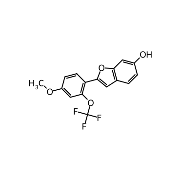 COc1ccc(-c2cc3ccc(O)cc3o2)c(OC(F)(F)F)c1